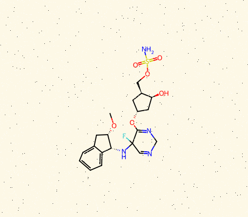 CO[C@H]1Cc2ccccc2[C@H]1NC1(F)C=NCN=C1O[C@@H]1C[C@@H](COS(N)(=O)=O)[C@@H](O)C1